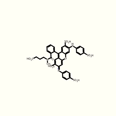 CN(CCCC(=O)O)C(=O)c1ccccc1-c1c2cc(S(=O)(=O)O)/c(=N/c3ccc(S(=O)(=O)O)cc3)cc-2oc2cc(Nc3ccc(S(=O)(=O)O)cc3)c(S(=O)(=O)O)cc12